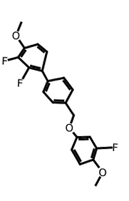 COc1ccc(OCc2ccc(-c3ccc(OC)c(F)c3F)cc2)cc1F